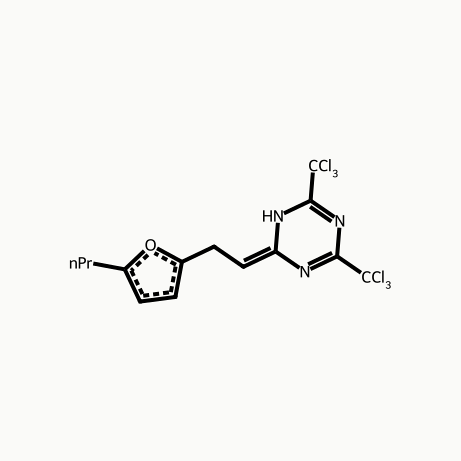 CCCc1ccc(CC=C2N=C(C(Cl)(Cl)Cl)N=C(C(Cl)(Cl)Cl)N2)o1